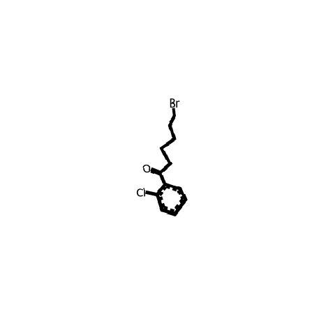 O=C(CCCCCBr)c1ccccc1Cl